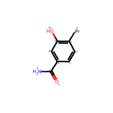 CC(C)c1ccc(C(N)=O)cc1O